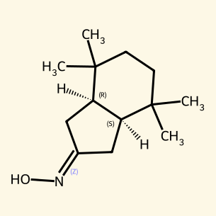 CC1(C)CCC(C)(C)[C@H]2C/C(=N/O)C[C@H]21